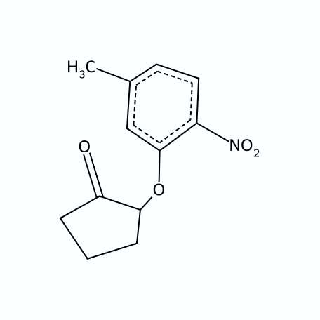 Cc1ccc([N+](=O)[O-])c(OC2CCCC2=O)c1